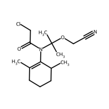 CC1=C(N(C(=O)CCl)C(C)(C)OCC#N)C(C)CCC1